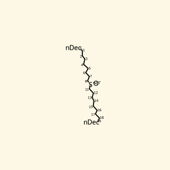 CCCCCCCCCCCCCCCCCC[S+]([O-])CCCCCCCCCCCCCCCCCC